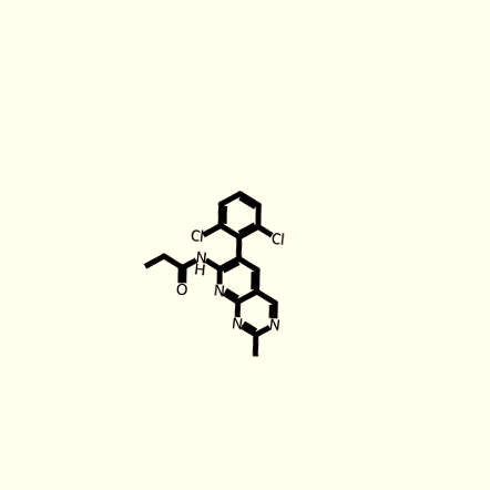 CCC(=O)Nc1nc2nc(C)ncc2cc1-c1c(Cl)cccc1Cl